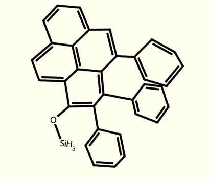 [SiH3]Oc1c(-c2ccccc2)c(-c2ccccc2)c2c(-c3ccccc3)cc3cccc4ccc1c2c43